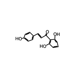 O=C(C=Cc1ccc(O)cc1)c1c(O)cccc1O